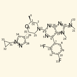 C[C@H]1CN(c2nc(-c3ccc(F)cc3F)c3c(n2)nc(N(C)C)n3C)C[C@H](c2cnn(C3CC3)c2)O1